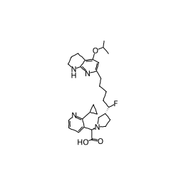 CC(C)Oc1cc(CCCCC(F)[C@@H]2CCN([C@@H](C(=O)O)c3cccnc3C3CC3)C2)nc2c1CCCN2